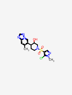 Cc1cc2ncnn2cc1C1CCN(S(=O)(=O)c2cnn(C)c2Cl)CC1O